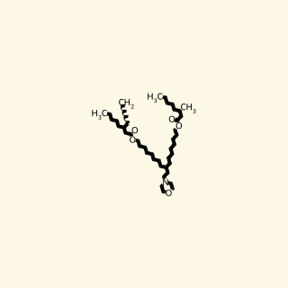 C=C=C=C=CC(CCCCC)CC(=O)OCCCCCCCCC(CCCCCCCCOC(=O)CC(C)CCCCC)CCN1CCOCC1